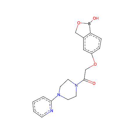 O=C(COc1ccc2c(c1)COB2O)N1CCN(c2ccccn2)CC1